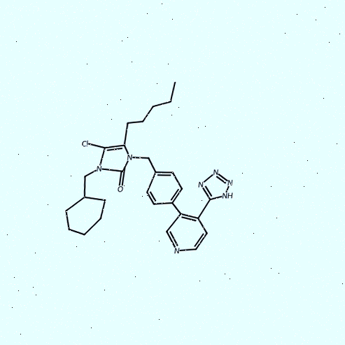 CCCCCc1c(Cl)n(CC2CCCCC2)c(=O)n1Cc1ccc(-c2cnccc2-c2nnn[nH]2)cc1